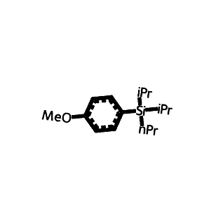 CCC[Si](c1ccc(OC)cc1)(C(C)C)C(C)C